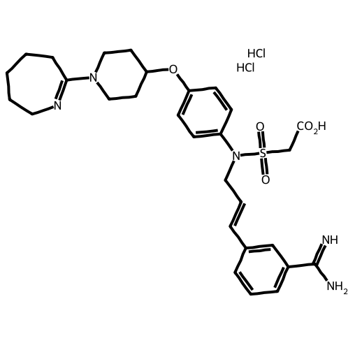 Cl.Cl.N=C(N)c1cccc(/C=C/CN(c2ccc(OC3CCN(C4=NCCCCC4)CC3)cc2)S(=O)(=O)CC(=O)O)c1